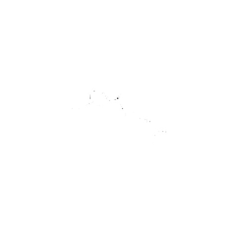 CC(=O)Oc1cc(C(=O)NCCNC(=O)OC(C)(C)C)cs1